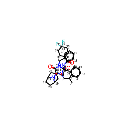 CC(C)CN1C(=O)N(Cc2ccccc2)C(=O)C12CC1CCC(C2)N1CC[C@H](NC(=O)C1CCC(F)(F)CC1)c1ccccc1